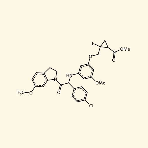 COC(=O)C1CC1(F)COc1cc(NC(C(=O)N2CCc3ccc(OC(F)(F)F)cc32)c2ccc(Cl)cc2)cc(OC)c1